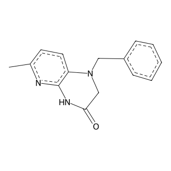 Cc1ccc2c(n1)NC(=O)CN2Cc1ccccc1